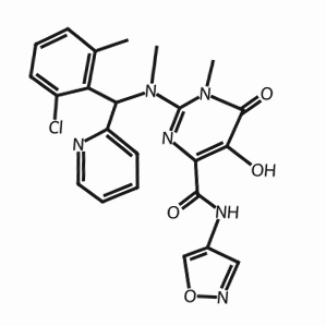 Cc1cccc(Cl)c1C(c1ccccn1)N(C)c1nc(C(=O)Nc2cnoc2)c(O)c(=O)n1C